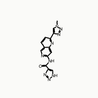 Cn1cc(-c2ccc3cnc(NC(=O)c4c[nH]nn4)cc3n2)nn1